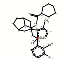 [2H]c1cccc(CCC(NC(=O)C2CCCCC2)N2C3CCC2CC(n2c(C)nnc2C(C)C)C3)c1[2H]